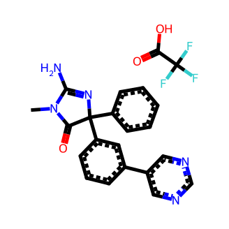 CN1C(=O)C(c2ccccc2)(c2cccc(-c3cncnc3)c2)N=C1N.O=C(O)C(F)(F)F